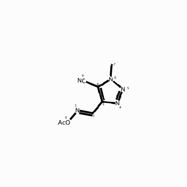 CC(=O)ON=Cc1nnn(C)c1C#N